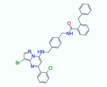 O=C(NCc1ccc(CNc2cc(-c3ccccc3Cl)nc3c(Br)cnn23)cc1)c1ccccc1Cc1ccccc1